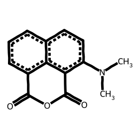 CN(C)c1ccc2cccc3c2c1C(=O)OC3=O